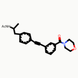 CC(=O)NC(C)Cc1ccc(C#Cc2cccc(C(=O)N3CCOCC3)c2)cc1